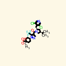 CC(C)[C@@H]1C[C@H](Cc2c(Cl)cncc2Cl)N(C(=O)c2cnn([C@H]3CC[C@](C)(C(=O)O)CC3)c2C(F)(F)F)C1